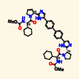 COC(=O)N[C@H](C(=O)N1CC=C[C@H]1c1ncc(-c2ccc(-c3ccc(-c4cnc([C@@H]5CCCN5C(=O)[C@@H](NC(=O)OC)C5CCCCC5)[nH]4)cc3)cc2)[nH]1)C1CCCCC1